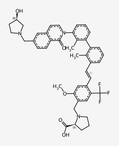 COc1cc(/C=C/c2cccc(-c3cccc(-n4ccc5cc(CN6CC[C@@H](O)C6)ccc5c4=O)c3C)c2C)c(C(F)(F)F)cc1CN1CCC[C@H]1C(=O)O